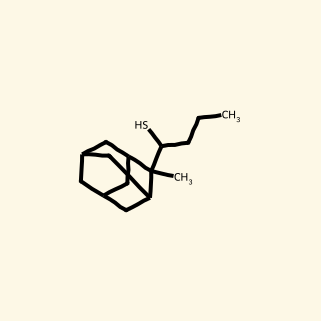 CCCC(S)C1(C)C2CC3CC(C2)CC1C3